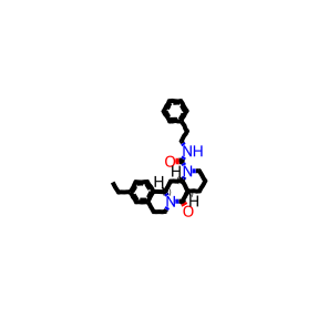 CCc1ccc2c(c1)CCN1C(=O)[C@@H]3CCCN(C(=O)NCCc4ccccc4)[C@@H]3C[C@H]21